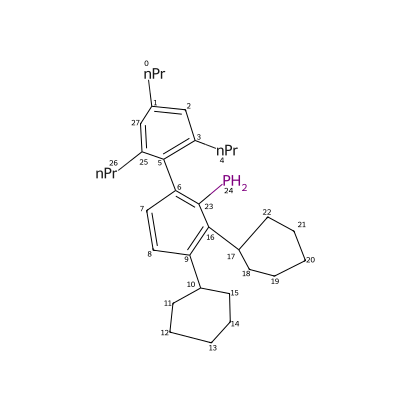 CCCc1cc(CCC)c(-c2ccc(C3CCCCC3)c(C3CCCCC3)c2P)c(CCC)c1